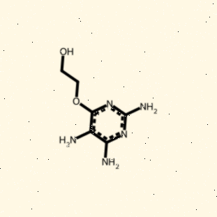 Nc1nc(N)c(N)c(OCCO)n1